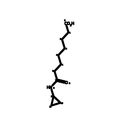 O=C(O)CCCCCCC(=O)NC1CC1